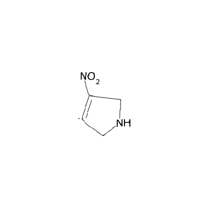 O=[N+]([O-])C1=[C]CNC1